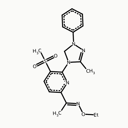 CCON=C(C)c1ccc(S(C)(=O)=O)c(N2CN(c3ccccc3)N=C2C)n1